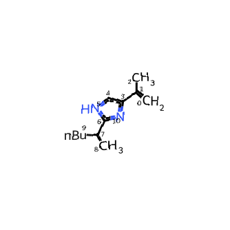 C=C(C)c1c[nH]c(C(C)CCCC)n1